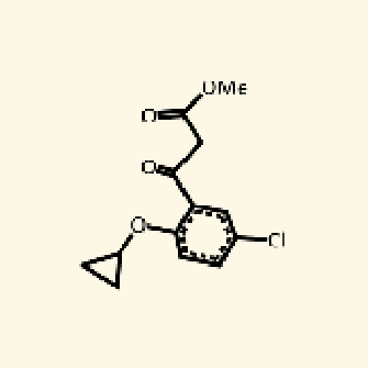 COC(=O)CC(=O)c1cc(Cl)ccc1OC1CC1